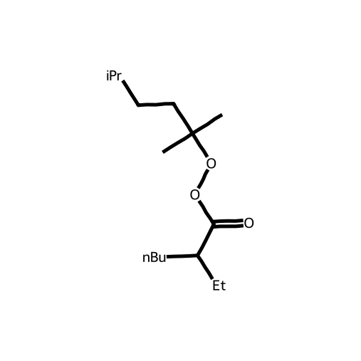 CCCCC(CC)C(=O)OOC(C)(C)CCC(C)C